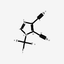 N#Cc1ncn(C(F)(F)F)c1C#N